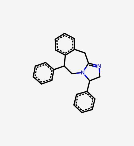 c1ccc(C2CN3C(=NCC3c3ccccc3)Cc3ccccc32)cc1